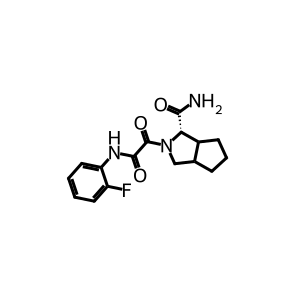 NC(=O)[C@@H]1C2CCCC2CN1C(=O)C(=O)Nc1ccccc1F